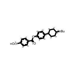 CCCCCCCCc1ccc(C(=O)Oc2ccc(C3CCC(CCCC)CC3)cc2)cc1